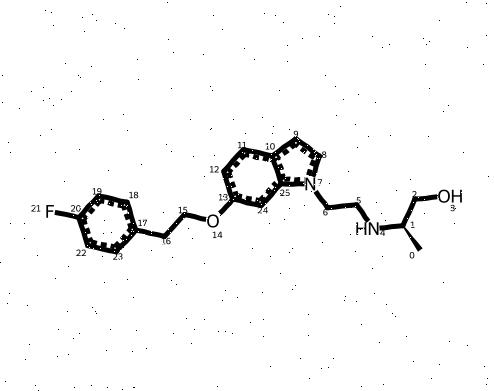 C[C@H](CO)NCCn1ccc2ccc(OCCc3ccc(F)cc3)cc21